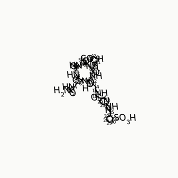 NC(=O)NCCC[C@@H]1NC(=O)[C@H](CCCCNC(=O)c2ccc(NN=Cc3ccccc3S(=O)(=O)O)nc2)NC(=O)[C@@H](Cc2ccccc2)NC(=O)[C@H](CC(=O)O)NC(=O)CNC1=O